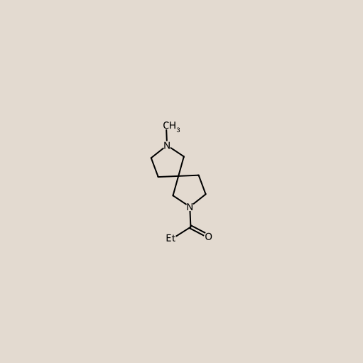 CCC(=O)N1CCC2(CCN(C)C2)C1